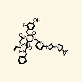 C=CCN1CC(=O)N2[C@@H](Cc3ccc(O)cc3F)C(=O)N(Cc3cccc(N4CC(N5CC[C@@H](N(C)C)C5)C4)n3)C[C@@H]2N1C(=O)NCc1ccccc1